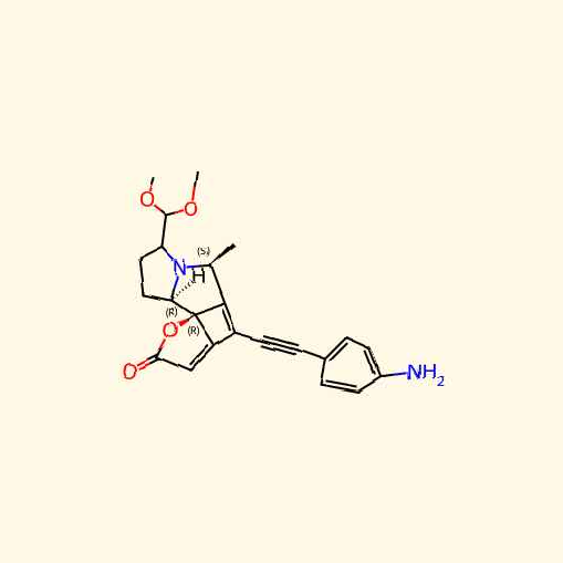 COC(OC)C1CC[C@H]2N1[C@@H](C)C1=C(C#Cc3ccc(N)cc3)C3=CC(=O)O[C@]312